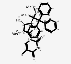 COOC(OC)([C@H]1O[C@@H](n2cc(C)c(=O)[nH]c2=O)[C@H](OC)[C@@H]1O)C(c1ccccc1)(c1ccccc1)c1ccccc1